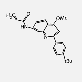 C=CC(=O)Nc1ccc2c(OC)cc(-c3ccc(C(C)(C)C)cc3)nc2c1